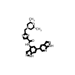 C[C@@H]1CN(Cc2nc(C(=O)Nc3cc(-c4cnc5[nH]ncc5c4)cc4[nH]ncc34)cs2)C[C@H](C)O1